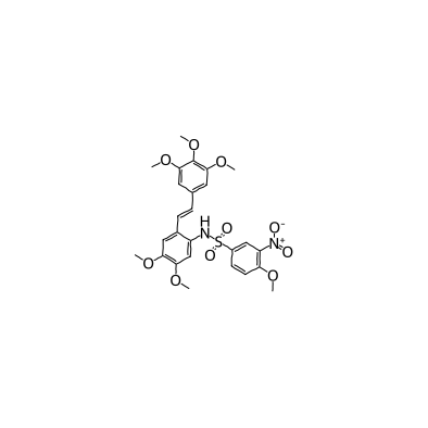 COc1cc(C=Cc2cc(OC)c(OC)c(OC)c2)c(NS(=O)(=O)c2ccc(OC)c([N+](=O)[O-])c2)cc1OC